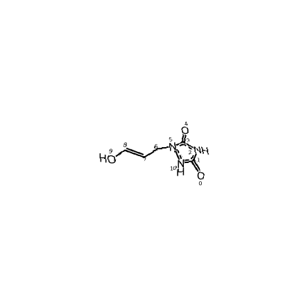 O=c1[nH]c(=O)n(CC=CO)[nH]1